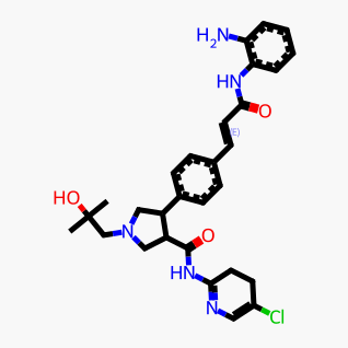 CC(C)(O)CN1CC(C(=O)NC2=NC=C(Cl)CC2)C(c2ccc(/C=C/C(=O)Nc3ccccc3N)cc2)C1